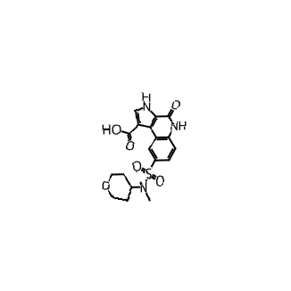 CN(C1CCOCC1)S(=O)(=O)c1ccc2[nH]c(=O)c3[nH]cc(C(=O)O)c3c2c1